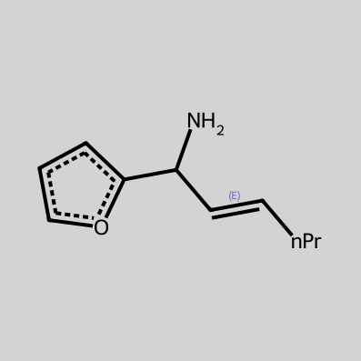 CCC/C=C/C(N)c1ccco1